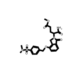 COC(=O)CCC(C(N)=O)N1Cc2c(OCc3ccc(S(=O)(=O)N(C)C)cc3)cccc2C1=O